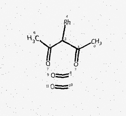 CC(=O)[CH]([Rh])C(C)=O.[C]=O.[C]=O